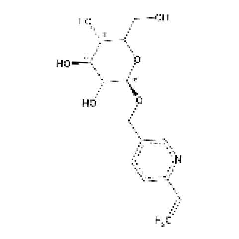 C=Cc1ccc(CO[C@@H]2OC(CO)[C@@H](O)[C@H](O)C2O)cn1